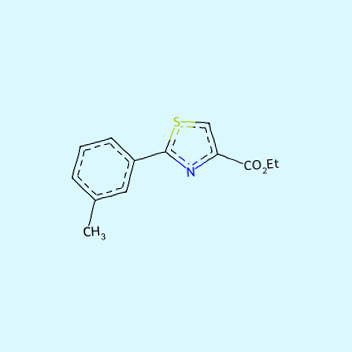 CCOC(=O)c1csc(-c2cccc(C)c2)n1